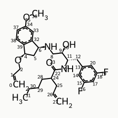 C=CCO[C@@H]1C[C@H](NC[C@@H](O)[C@H](Cc2cc(F)cc(F)c2)NC(=O)C(CC=C)CCCC)c2cc(OC)ccc21